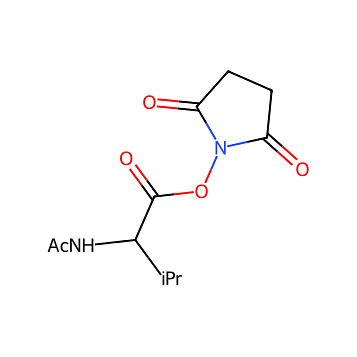 CC(=O)NC(C(=O)ON1C(=O)CCC1=O)C(C)C